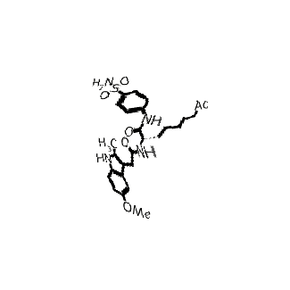 COc1ccc2[nH]c(C)c(CC(=O)N[C@@H](CCCCCC(C)=O)C(=O)Nc3ccc(S(N)(=O)=O)cc3)c2c1